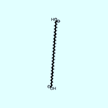 O=C(O)CCCCCCCC=CCC=CCCCCCCCCCCCCCCCCC=CCC=CCCCCCCCC(=O)O